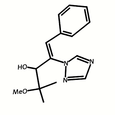 COC(C)(C)C(O)/C(=C/c1ccccc1)n1cncn1